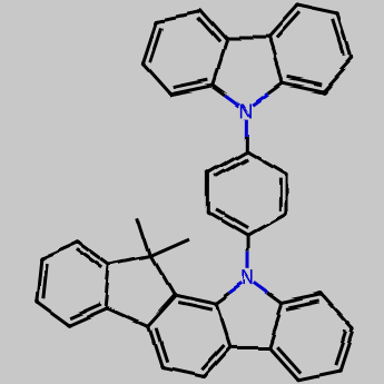 CC1(C)c2ccccc2-c2ccc3c4ccccc4n(-c4ccc(-n5c6ccccc6c6ccccc65)cc4)c3c21